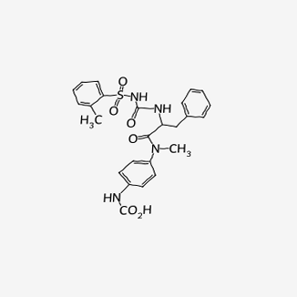 Cc1ccccc1S(=O)(=O)NC(=O)NC(Cc1ccccc1)C(=O)N(C)c1ccc(NC(=O)O)cc1